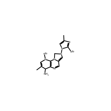 CCCc1nc(C)cn1N1C=C2C=NC3=C(N(CCC)C=C(C)C3N)N2C1